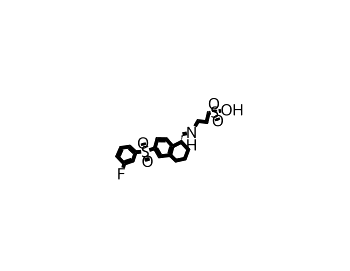 O=S(=O)(O)CCCNC[C@@H]1CCCc2cc(S(=O)(=O)c3cccc(F)c3)ccc21